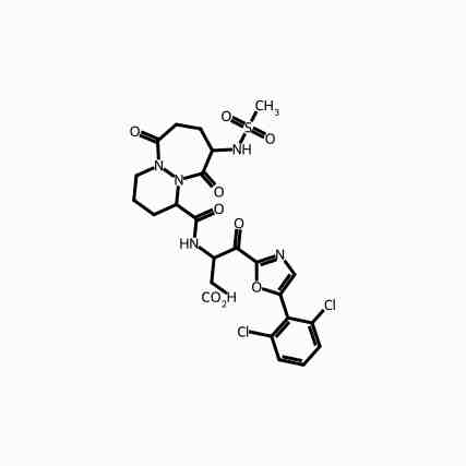 CS(=O)(=O)NC1CCC(=O)N2CCCC(C(=O)NC(CC(=O)O)C(=O)c3ncc(-c4c(Cl)cccc4Cl)o3)N2C1=O